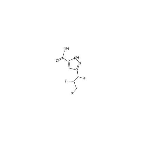 O=C(O)c1cc(C(F)C(F)CF)n[nH]1